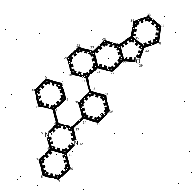 c1ccc(-c2nc3ccccc3nc2-c2cccc(-c3cccc4cc5c(cc34)oc3ccccc35)c2)cc1